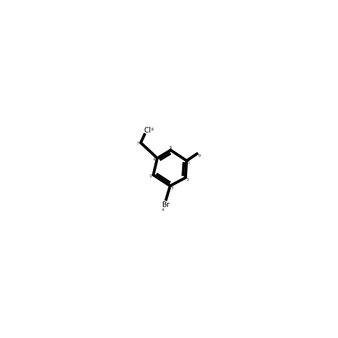 Cc1cc(Br)cc(CCl)c1